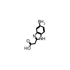 Bc1ccc2[nH]c(CC(=O)O)nc2c1